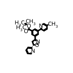 Cc1ccc(-c2cc(C(=O)OC(C)(C)C)cc(C3=NO[C@H](c4ccccn4)C3)c2)nc1